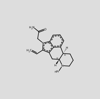 C=Cc1c2c3c(cccc3n1CC(N)=O)[C@H]1CCCN(CCC)[C@@H]1C2